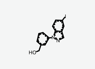 OCc1cccc(-n2ncc3cc(I)ccc32)c1